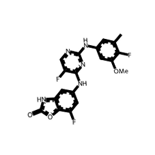 COc1cc(Nc2ncc(F)c(Nc3cc(F)c4oc(=O)[nH]c4c3)n2)cc(C)c1F